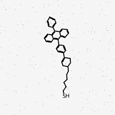 SCCCCCCC1CC=C(c2ccc(-c3c4ccccc4c(-c4ccccc4)c4ccccc34)cc2)CC1